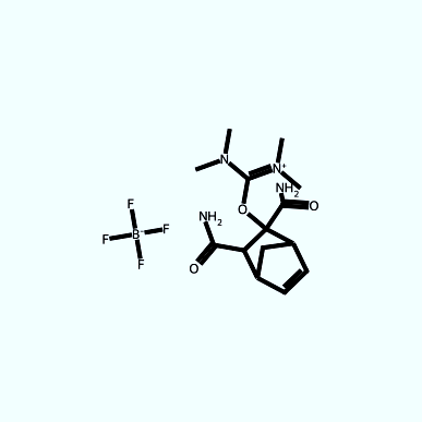 CN(C)C(OC1(C(N)=O)C2C=CC(C2)C1C(N)=O)=[N+](C)C.F[B-](F)(F)F